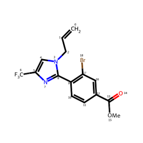 C=CCn1cc(C(F)(F)F)nc1-c1ccc(C(=O)OC)cc1Br